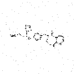 CNCCC(Oc1ccc(CN2CCN(C)c3ncncc3C2=O)cc1)C1C=CSC1